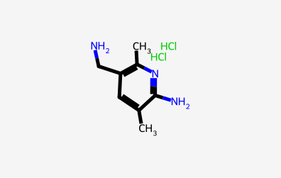 Cc1cc(CN)c(C)nc1N.Cl.Cl